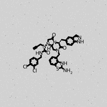 C#CCN(C(=O)NCc1ccc(Cl)c(Cl)c1)N1CC(=O)N2[C@@H](Cc3ccc4[nH]ncc4c3)C(=O)N(Cc3cccc4c3NC(N)S4)C[C@@H]21